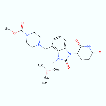 CC(=O)O[BH-](OC(C)=O)OC(C)=O.Cn1c(=O)n(C2CCC(=O)NC2=O)c2cccc(CN3CCN(C(=O)OC(C)(C)C)CC3)c21.[Na+]